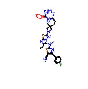 CCc1nc2sc(N3CC4(CCCN(C(N)=O)C4)C3)nn2c1N(C)c1nc(-c2ccc(F)cc2)c(C#N)s1